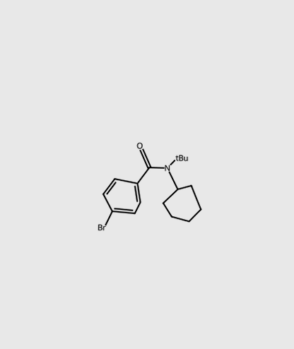 CC(C)(C)N(C(=O)c1ccc(Br)cc1)C1CCCCC1